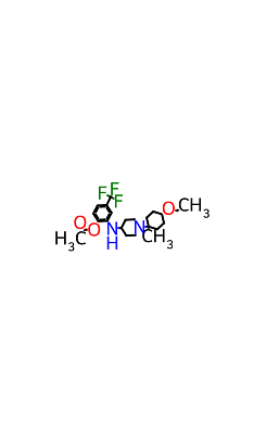 CCOC1CCC(C)(N2CCC(Nc3cc(C(F)(F)F)ccc3OC(C)=O)CC2)CC1